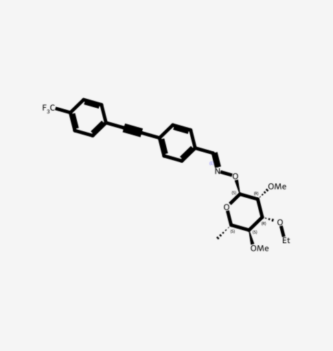 CCO[C@@H]1[C@@H](OC)[C@H](C)O[C@@H](O/N=C/c2ccc(C#Cc3ccc(C(F)(F)F)cc3)cc2)[C@@H]1OC